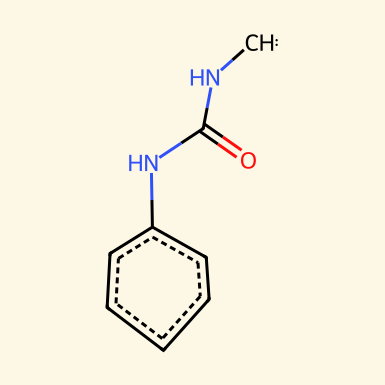 [CH]NC(=O)Nc1ccccc1